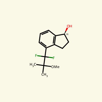 COC(C)(C)C(F)(F)c1cccc2c1CC[C@@H]2O